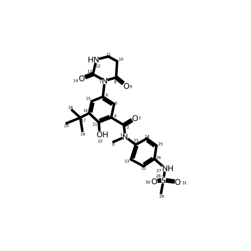 CN(C(=O)c1cc(N2C(=O)CCNC2=O)cc(C(C)(C)C)c1O)c1ccc(NS(C)(=O)=O)cc1